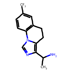 CC(N)c1ncn2c1CCc1cc(C(F)(F)F)ccc1-2